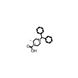 C[C@@H]1CN(C(c2ccccc2)c2ccccc2)CCN1C(=O)O